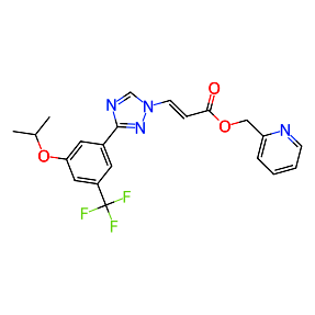 CC(C)Oc1cc(-c2ncn(C=CC(=O)OCc3ccccn3)n2)cc(C(F)(F)F)c1